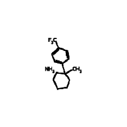 CC1(c2ccc(C(F)(F)F)cc2)CCCCC1.N